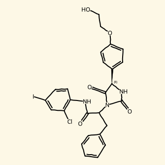 O=C(Nc1ccc(I)cc1Cl)C(Cc1ccccc1)N1C(=O)N[C@H](c2ccc(OCCO)cc2)C1=O